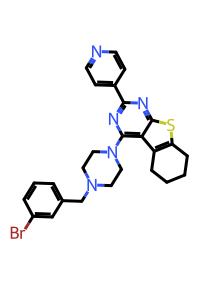 Brc1cccc(CN2CCN(c3nc(-c4ccncc4)nc4sc5c(c34)CCCC5)CC2)c1